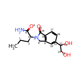 CCC[C@@H](C(N)=O)N1Cc2cc(C(O)CO)ccc2C1=O